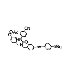 CCCCc1ccc(C#Cc2ccc(CN(Cc3ccc(OOC(C)=O)cc3)C(=O)Nc3ccc(C#N)cc3)cc2)cc1